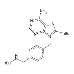 CCCCc1nc2c(N)ncnc2n1Cc1ccc(CNC(C)(C)C)cc1